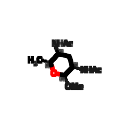 CO[C@@H]1O[C@H](C)[C@@H](NC(C)=O)C[C@@H]1NC(C)=O